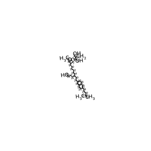 C=C(CO)C(O)OCC(CCCCCCC(CCCO)CCC1=CCC2C=C(CCCC(C)C)C=CC2=C1)COC